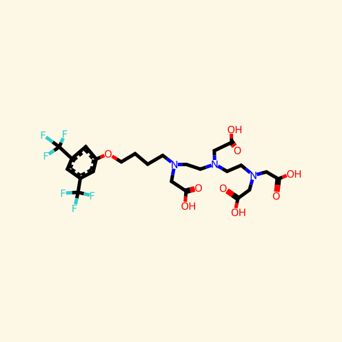 O=C(O)CN(CCCCOc1cc(C(F)(F)F)cc(C(F)(F)F)c1)CCN(CCN(CC(=O)O)CC(=O)O)CC(=O)O